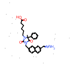 CC1(c2ccccc2)C(=O)N(Cc2ccc3ccc(C=NN)cc3c2)C(=O)N1CCCCCC(=O)O